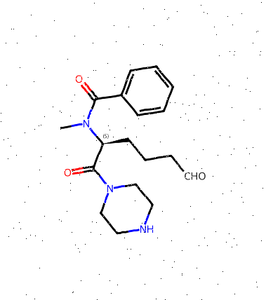 CN(C(=O)c1ccccc1)[C@@H](CCCC=O)C(=O)N1CCNCC1